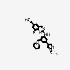 C#Cc1cc(F)c2nc(Nc3cc(CN4CCCCC4)cc(-c4cnn(C)c4)c3)ncc2c1